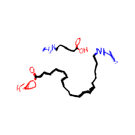 NCCCC(=O)O.NCCCCC/C=C\C/C=C\C/C=C\C/C=C\CCCC(=O)O